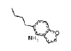 CCCCc1ccc2occc2c1.N